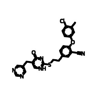 Cc1cc(Oc2ccc(CCSc3nc(=O)c(Cc4cncnc4)c[nH]3)cc2C#N)ccc1Cl